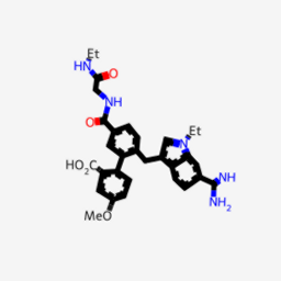 CCNC(=O)CNC(=O)c1ccc(Cc2cn(CC)c3cc(C(=N)N)ccc23)c(-c2ccc(OC)cc2C(=O)O)c1